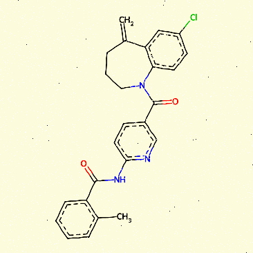 C=C1CCCN(C(=O)c2ccc(NC(=O)c3ccccc3C)nc2)c2ccc(Cl)cc21